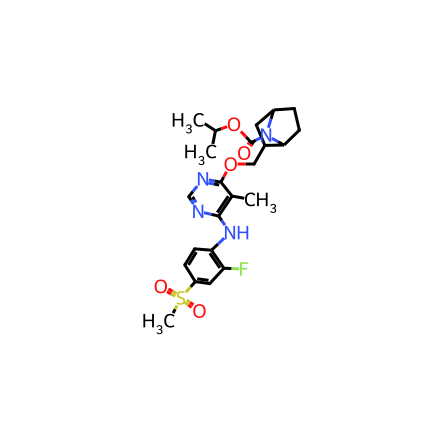 Cc1c(Nc2ccc(S(C)(=O)=O)cc2F)ncnc1OCC1CC2CCC1N2C(=O)OC(C)C